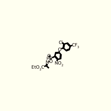 CCOC(=O)C(C)=NO[PH](=O)c1cc(Oc2ccc(C(F)(F)F)cc2Cl)ccc1[N+](=O)[O-]